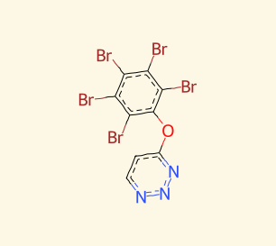 Brc1c(Br)c(Br)c(Oc2ccnnn2)c(Br)c1Br